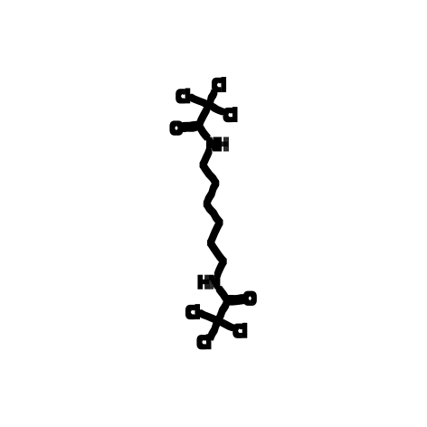 O=C(NCCCCCCNC(=O)C(Cl)(Cl)Cl)C(Cl)(Cl)Cl